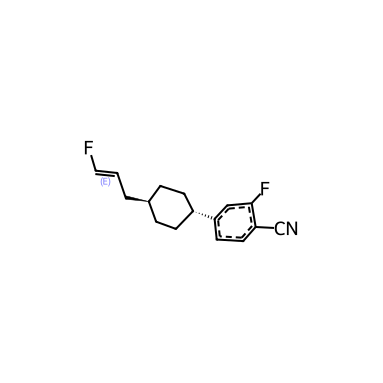 N#Cc1ccc([C@H]2CC[C@H](C/C=C/F)CC2)cc1F